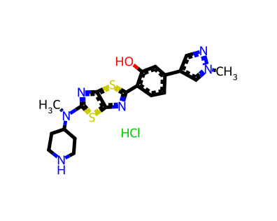 CN(c1nc2sc(-c3ccc(-c4cnn(C)c4)cc3O)nc2s1)C1CCNCC1.Cl